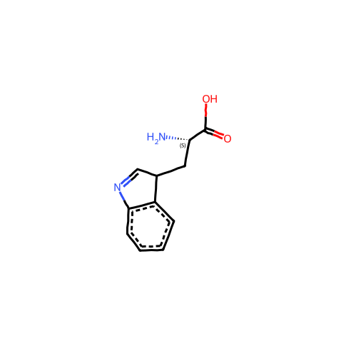 N[C@@H](CC1C=Nc2ccccc21)C(=O)O